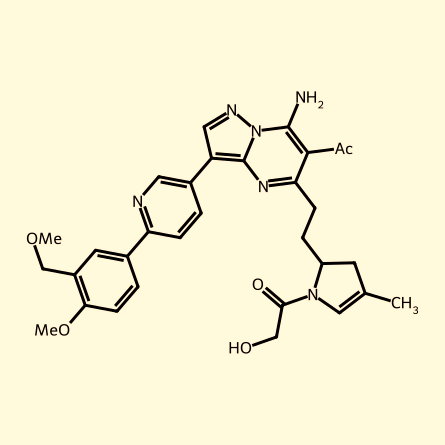 COCc1cc(-c2ccc(-c3cnn4c(N)c(C(C)=O)c(CCC5CC(C)=CN5C(=O)CO)nc34)cn2)ccc1OC